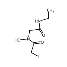 CCNC(=O)CN(C)C(=O)CI